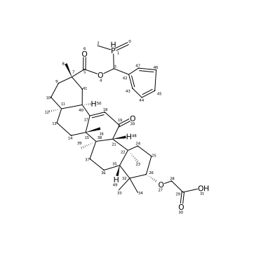 C=[PH](C)C(OC(=O)[C@@]1(C)CC[C@]2(C)CC[C@]3(C)C(=CC(=O)[C@@H]4[C@@]5(C)CC[C@H](OCC(=O)O)C(C)(C)[C@@H]5CC[C@]43C)[C@@H]2C1)c1ccccc1